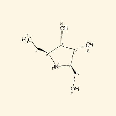 CC[C@@H]1N[C@H](CO)[C@@H](O)[C@H]1O